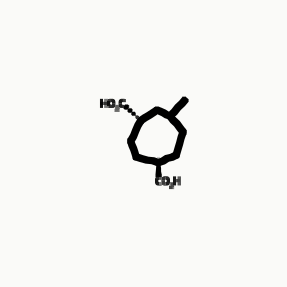 CC1CC[C@@H](C(=O)O)CC[C@H](C(=O)O)C1